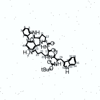 Cc1ccccc1NC(=O)C1CC[C@H](C(=O)NC(=O)C(CCCCN)NC(=O)C(Cc2c[nH]c3ccccc23)NC(=O)OC(C)(C)C)N1Cc1ccccc1